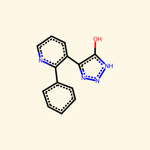 Oc1[nH]nnc1-c1cccnc1-c1ccccc1